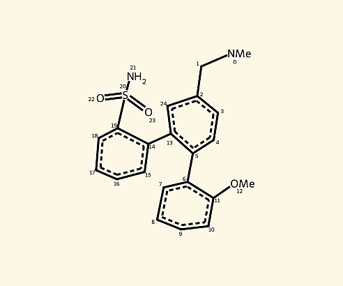 CNCc1ccc(-c2ccccc2OC)c(-c2ccccc2S(N)(=O)=O)c1